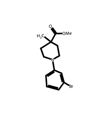 COC(=O)C1(C)CCN(c2cccc(Br)c2)CC1